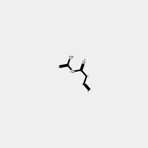 C=CCC(=O)OC(=C)Cl